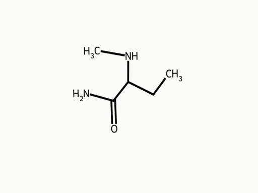 CCC(NC)C(N)=O